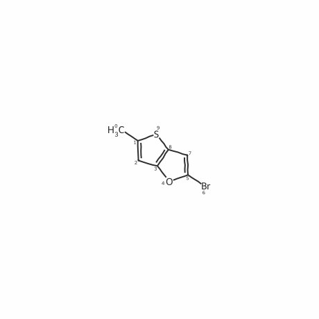 Cc1cc2oc(Br)cc2s1